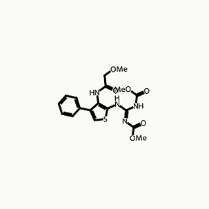 COCC(=O)Nc1c(-c2ccccc2)csc1NC(=NC(=O)OC)NC(=O)OC